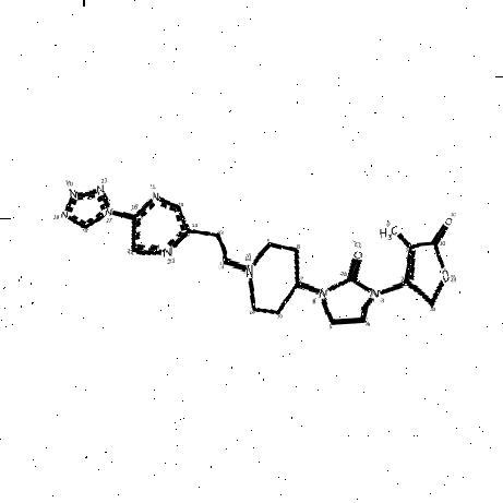 CC1=C(N2CCN(C3CCN(CCc4cnc(-n5cnnn5)cn4)CC3)C2=O)COC1=O